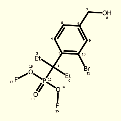 CCC(CC)(c1ccc(CO)cc1Br)P(=O)(OF)OF